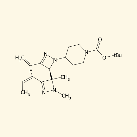 C=CC1=NN(C2CCN(C(=O)OC(C)(C)C)CC2)[C@H]1C1(C)C(/C(F)=C\C)=NN1C